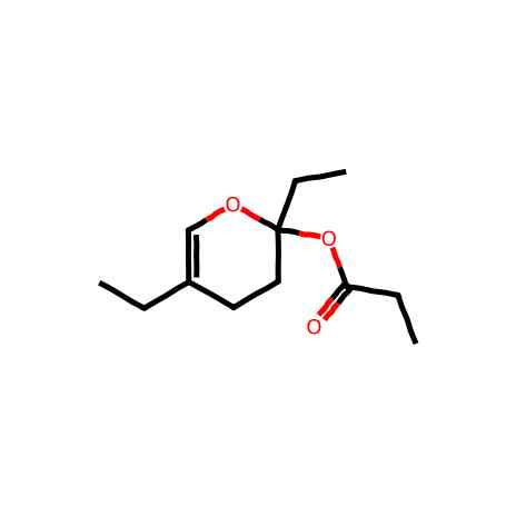 CCC(=O)OC1(CC)CCC(CC)=CO1